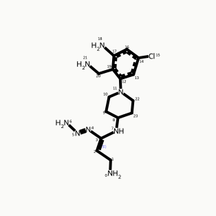 NC/C=C(/N=NN)NC1CCN(c2cc(Cl)cc(N)c2CN)CC1